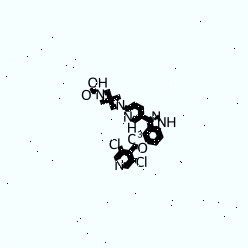 C[C@@H](Oc1ccc2[nH]nc(-c3ccc(N4CC5(CN(C(=O)O)C5)C4)nc3)c2c1)c1c(Cl)cncc1Cl